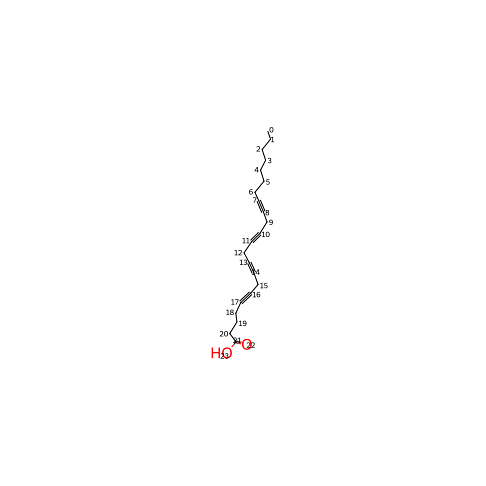 CCCCCCCC#CCC#CCC#CCC#CCCCC(=O)O